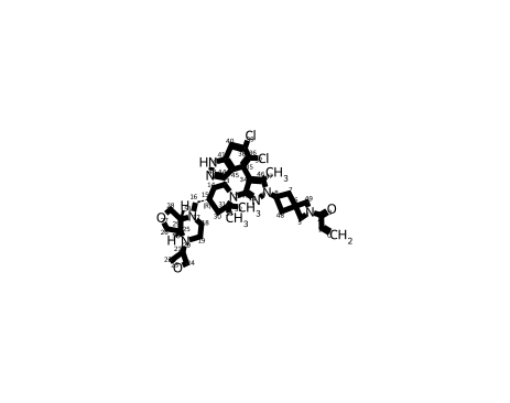 C=CC(=O)N1CC2(CC(n3nc(N4CC[C@@H](CN5CCN(C6COC6)[C@@H]6COC[C@@H]65)CC4(C)C)c(-c4c(Cl)c(Cl)cc5[nH]ncc45)c3C)C2)C1